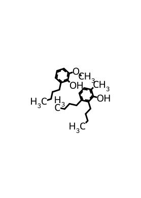 CCCCc1ccc(C)c(O)c1CCCC.CCCCc1cccc(OC)c1O